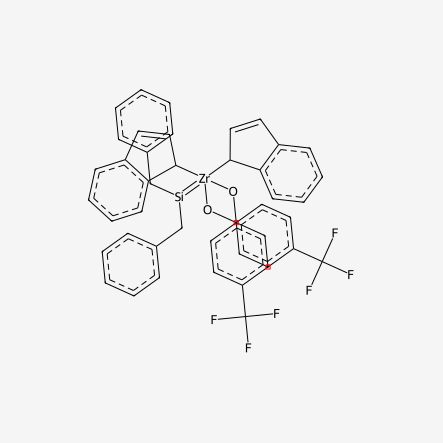 FC(F)(F)c1ccc([O][Zr]([O]c2ccc(C(F)(F)F)cc2)([CH]2C=Cc3ccccc32)([CH]2C=Cc3ccccc32)=[Si](Cc2ccccc2)Cc2ccccc2)cc1